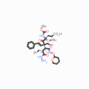 CC(C)C[C@@H](C(=O)NN)[C@H](C(=O)NOC1CCCCO1)C(/C=C/c1ccccc1)(CC(C)C)C(=O)[C@](CCC(=O)O)(NC(=O)OC(C)(C)C)OC(C)(C)C